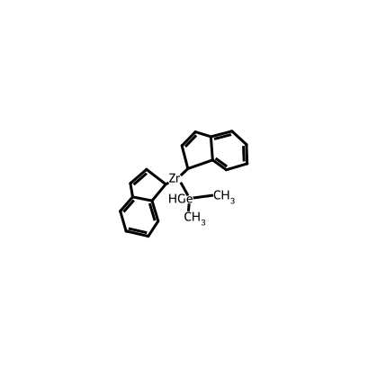 [CH3][GeH]([CH3])[Zr]([CH]1C=Cc2ccccc21)[CH]1C=Cc2ccccc21